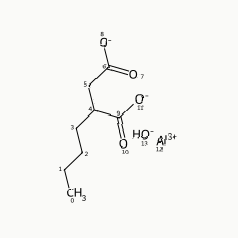 CCCCC(CC(=O)[O-])C(=O)[O-].[Al+3].[OH-]